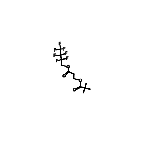 CC(C)(C)C(=O)OCCC(=O)OCC(F)(F)C(F)(F)C(F)(F)F